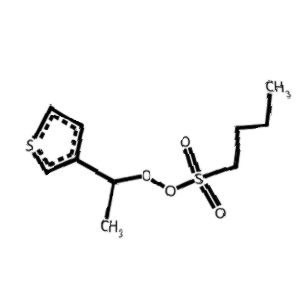 CCCCS(=O)(=O)OOC(C)c1ccsc1